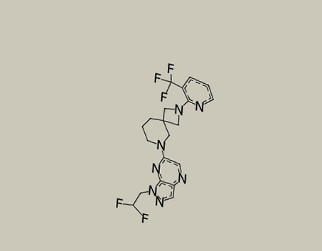 FC(F)Cn1ncc2ncc(N3CCCC4(C3)CN(c3ncccc3C(F)(F)F)C4)nc21